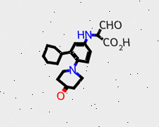 O=CC(Nc1ccc(N2CCC(=O)CC2)c(C2CCCCC2)c1)C(=O)O